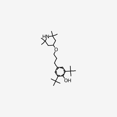 CC1(C)CC(OCCCc2cc(C(C)(C)C)c(O)c(C(C)(C)C)c2)CC(C)(C)N1